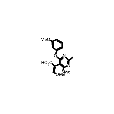 CO/C=C(/C(=O)O)c1c(Oc2cccc(OC)c2)nc(C)nc1SC